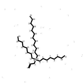 C=CC[N+](CCCCCCCC)(CCCCCCCC)CCCCCCCCCCCC